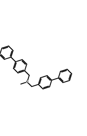 CN(Cc1ccc(-c2ccccc2)cc1)Cc1ccc(-c2ccccc2)cc1